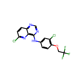 FC(F)(F)COc1ccc(Nc2ncnc3ccc(Cl)nc23)cc1Cl